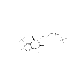 [2H]c1nc2c(c(=O)n(CCCC([2H])([2H])[C@H](O)C([2H])([2H])[2H])c(=O)n2C)n1C([2H])([2H])[2H]